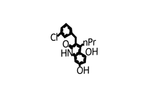 CCCc1c(Cc2cccc(Cl)c2)c(=O)[nH]c2cc(O)cc(O)c12